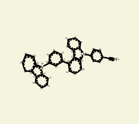 N#Cc1ccc(-n2c3ccccc3c3c(-c4cccc(-n5c6ccccc6c6ccccc65)c4)cccc32)cc1